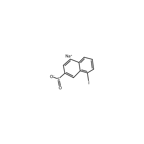 O=S([O-])c1ccc2cccc(I)c2c1.[Na+]